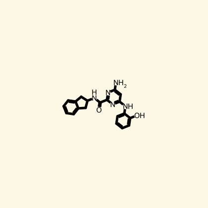 Nc1cc(Nc2ccccc2O)nc(C(=O)NC2Cc3ccccc3C2)n1